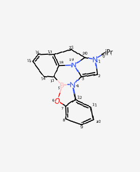 CC(C)N1C=C2N3B(Oc4ccccc43)C3CC=CC4=C3N2C1C4